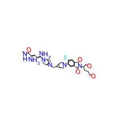 CNC(=O)/C(N)=C/C=C(\N)N1CC2CC1CN2CC1C2CN(c3cc4c(cc3F)C(=O)N(C(C=O)CCC=O)C4=O)CC21